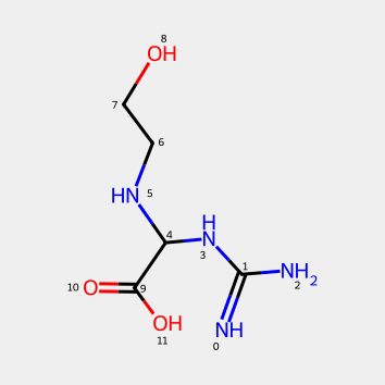 N=C(N)NC(NCCO)C(=O)O